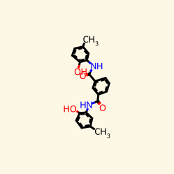 Cc1ccc(O)c(NC(=O)c2cccc(C(=O)Nc3cc(C)ccc3O)c2)c1